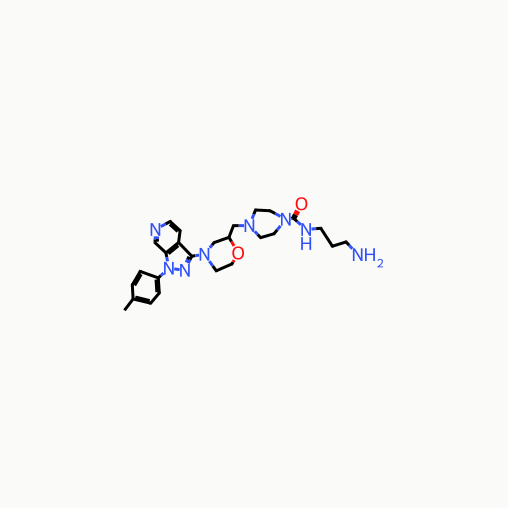 Cc1ccc(-n2nc(N3CCOC(CN4CCN(C(=O)NCCCN)CC4)C3)c3ccncc32)cc1